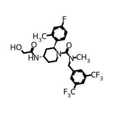 Cc1cc(F)ccc1[C@@H]1C[C@@H](NC(=O)CO)CCN1C(=O)N(C)Cc1cc(C(F)(F)F)cc(C(F)(F)F)c1